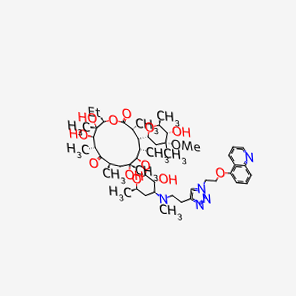 CC[C@H]1OC(=O)[C@H](C)C([C@H]2C[C@@](C)(OC)[C@@H](O)[C@H](C)O2)[C@H](C)[C@@H](O[C@@H]2O[C@H](C)C[C@H](N(C)CCc3cn(CCOc4cccc5ncccc45)nn3)[C@H]2O)[C@](C)(O)C[C@@H](C)C(=O)[C@H](C)[C@@H](O)[C@]1(C)O